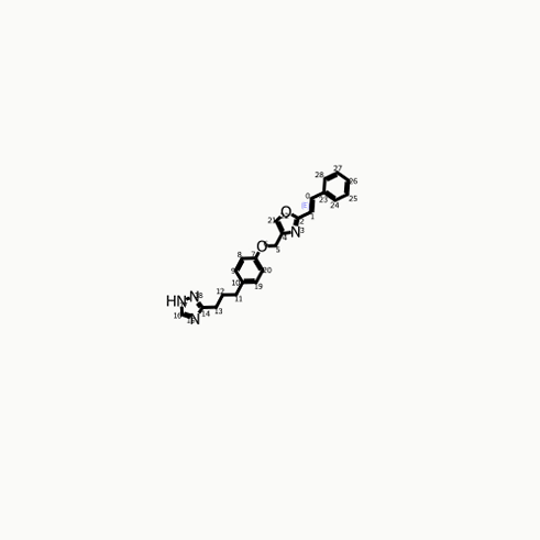 C(=C\c1nc(COc2ccc(CCCc3nc[nH]n3)cc2)co1)/c1ccccc1